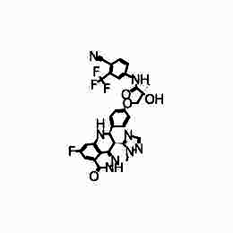 Cn1ncnc1[C@@H]1c2n[nH]c(=O)c3cc(F)cc(c23)N[C@H]1c1ccc(OC[C@](C)(O)C(=O)Nc2ccc(C#N)c(C(F)(F)F)c2)cc1